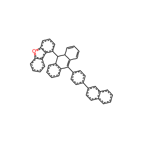 C1=CC2=C(c3ccc(-c4ccc5ccccc5c4)cc3)c3ccccc3C(c3cccc4oc5ccccc5c34)C2C=C1